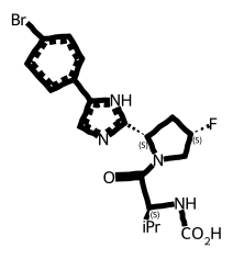 CC(C)[C@H](NC(=O)O)C(=O)N1C[C@@H](F)C[C@H]1c1ncc(-c2ccc(Br)cc2)[nH]1